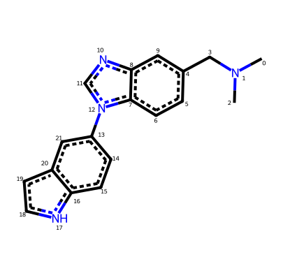 CN(C)Cc1ccc2c(c1)ncn2-c1ccc2[nH]ccc2c1